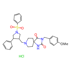 COc1ccc(CN2C(=O)NC3(CCN(CC4CN(S(=O)(=O)c5ccccc5)CC4c4ccccc4)CC3)C2=O)cc1.Cl